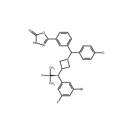 CC(C)(F)[C@H](c1cc(F)cc(Br)c1)C1CN(C(c2ccc(Cl)cc2)c2cccc(-c3n[nH]c(=O)o3)c2)C1